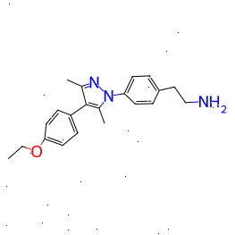 CCOc1ccc(-c2c(C)nn(-c3ccc(CCN)cc3)c2C)cc1